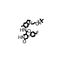 Cc1cc2ccn(CCO[Si](C)(C)C(C)(C)C)c2cc1NC(=O)C1=CNC(=O)C[C@H]1c1ccc(F)cc1